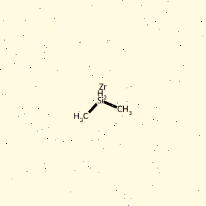 C[SiH2]C.[Zr]